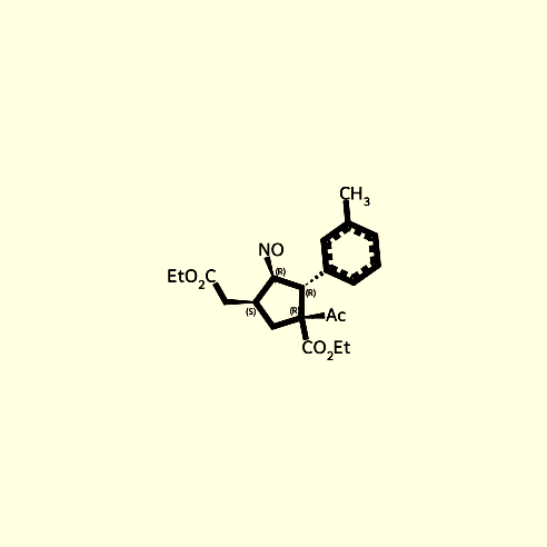 CCOC(=O)C[C@@H]1C[C@@](C(C)=O)(C(=O)OCC)[C@@H](c2cccc(C)c2)[C@@H]1N=O